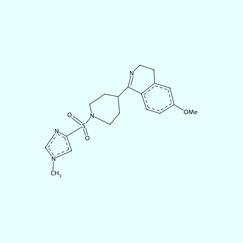 COc1ccc2c(c1)CCN=C2C1CCN(S(=O)(=O)c2cn(C)cn2)CC1